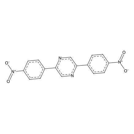 O=[N+]([O-])c1ccc(-c2cnc(-c3ccc([N+](=O)[O-])cc3)cn2)cc1